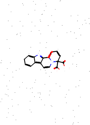 O=C(O)C1(C(=O)O)C=CC2=CC=COC23C2=NC4=CCC=CC4=C2C=CN13